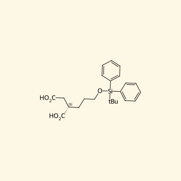 CC(C)(C)[Si](OCCC[C@@H](CC(=O)O)C(=O)O)(c1ccccc1)c1ccccc1